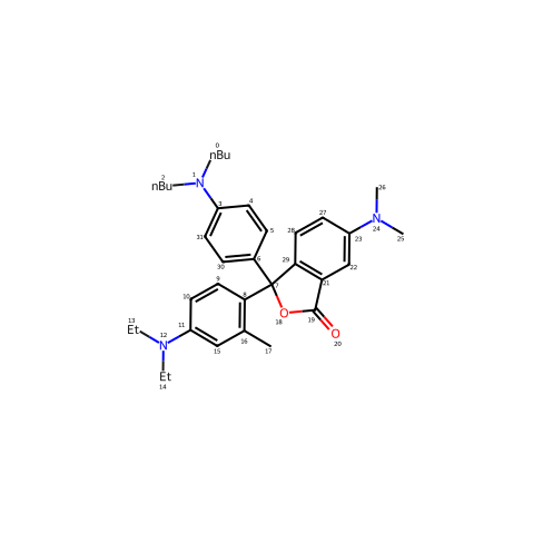 CCCCN(CCCC)c1ccc(C2(c3ccc(N(CC)CC)cc3C)OC(=O)c3cc(N(C)C)ccc32)cc1